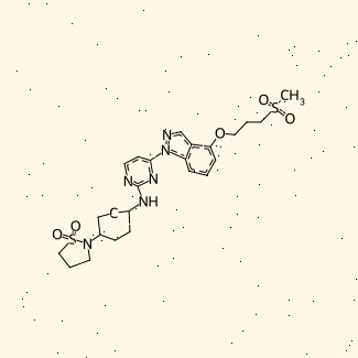 CS(=O)(=O)CCCOc1cccc2c1cnn2-c1ccnc(NC2CCC(N3CCCS3(=O)=O)CC2)n1